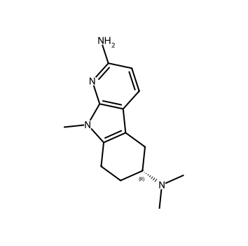 CN(C)[C@@H]1CCc2c(c3ccc(N)nc3n2C)C1